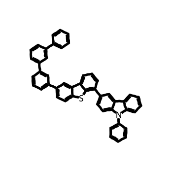 c1ccc(-c2cccc(-c3cccc(-c4ccc5sc6c(-c7ccc8c(c7)c7ccccc7n8-c7ccccc7)cccc6c5c4)c3)c2)cc1